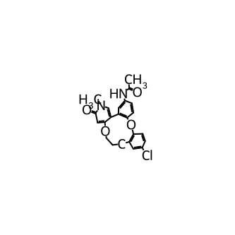 CC(=O)Nc1ccc2c(c1)-c1cn(C)c(=O)cc1OCCCc1cc(Cl)ccc1O2